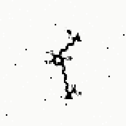 O=COC1(CCCCc2c(O)c(O)cc(CCCCCCC3(C(=O)O)CC3)c2O)CC1